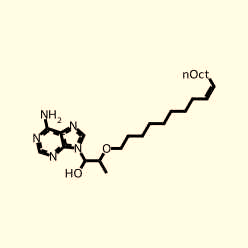 CCCCCCCC/C=C\CCCCCCCCOC(C)C(O)n1cnc2c(N)ncnc21